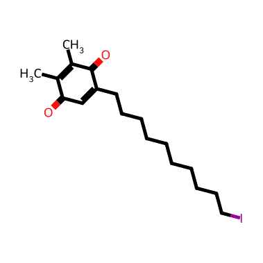 CC1=C(C)C(=O)C(CCCCCCCCCCI)=CC1=O